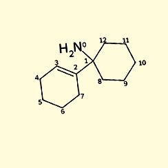 NC1(C2=CCCCC2)CCCCC1